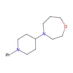 CC(C)N1CCC(N2CCCOCC2)CC1